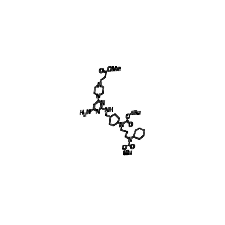 COC(=O)CCN1CCN(c2cc(N)nc(NCC3CCC(N(CCCN(C(=O)OC(C)(C)C)C4CCCCC4)C(=O)OC(C)(C)C)CC3)n2)CC1